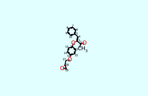 CC(=O)C(=Cc1ccccc1)Oc1ccc(OCC2CO2)cc1